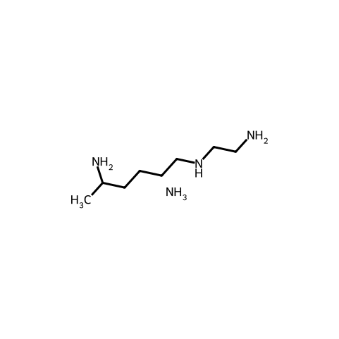 CC(N)CCCCNCCN.N